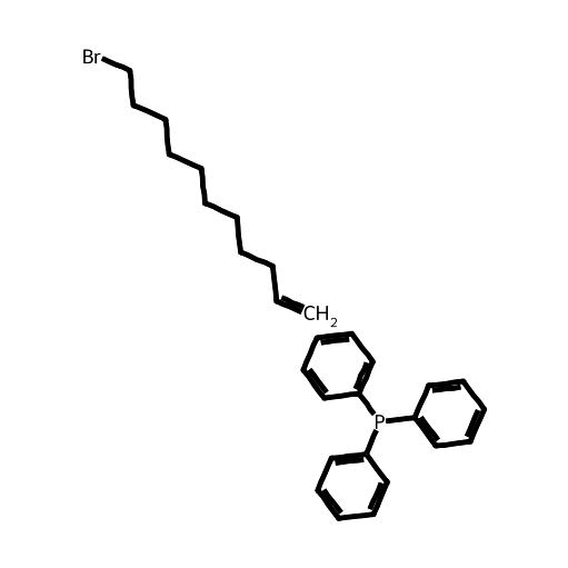 C=CCCCCCCCCCBr.c1ccc(P(c2ccccc2)c2ccccc2)cc1